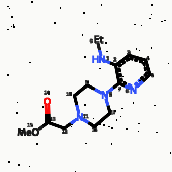 CCNc1cccnc1N1CCN(CC(=O)OC)CC1